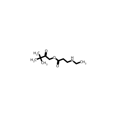 CCNCCC(=O)OCC(=O)C(C)(C)C